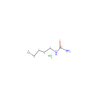 Cl.NC(=O)NCCCCCl